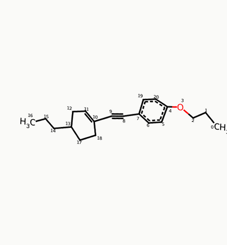 CCCOc1ccc(C#CC2=CCC(CCC)CC2)cc1